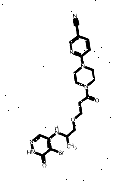 CC(COCCC(=O)N1CCN(c2ccc(C#N)cn2)CC1)Nc1cn[nH]c(=O)c1Br